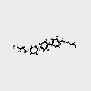 C/C=C/COCc1ccc(-c2ccc([C@H]3CC[C@H](C/C=C/CC)CC3)cc2)cc1